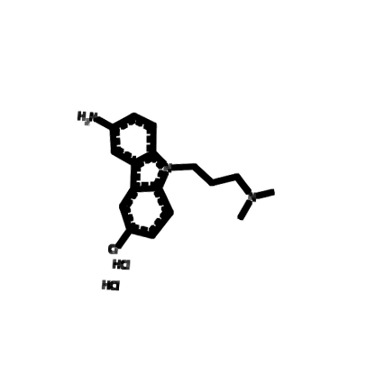 CN(C)CCCn1c2ccc(N)cc2c2cc(Cl)ccc21.Cl.Cl